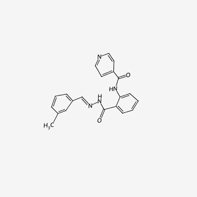 Cc1cccc(C=NNC(=O)c2ccccc2NC(=O)c2ccncc2)c1